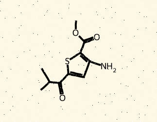 COC(=O)c1sc(C(=O)C(C)C)cc1N